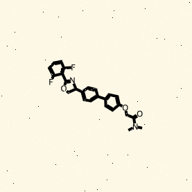 CN(C)C(=O)COc1ccc(-c2ccc(C3COC(c4c(F)cccc4F)=N3)cc2)cc1